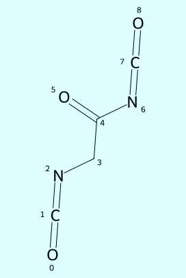 O=C=NCC(=O)N=C=O